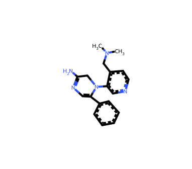 CN(C)Cc1ccncc1N1CC(N)=NC=C1c1ccccc1